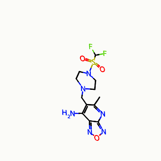 Cc1nc2nonc2c(N)c1CN1CCN(S(=O)(=O)C(F)F)CC1